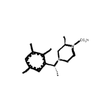 Cc1cc(C)c(C)c([C@@H](C)N2CCN(C(=O)O)[C@H](C)C2)c1